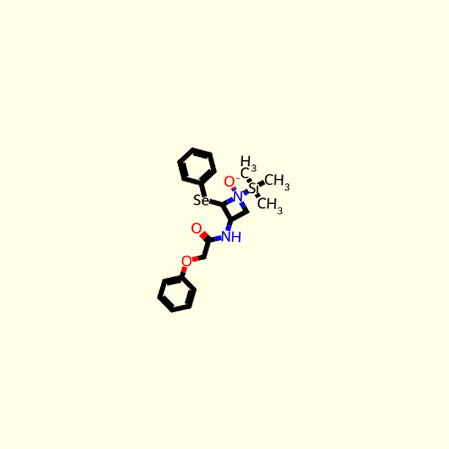 C[Si](C)(C)[N+]1([O-])CC(NC(=O)COc2ccccc2)C1[Se]c1ccccc1